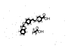 O=C(O)C(F)(F)F.O=C(O)C1CCN(CCc2ccc(Oc3nc4ccccc4s3)cc2)CC1